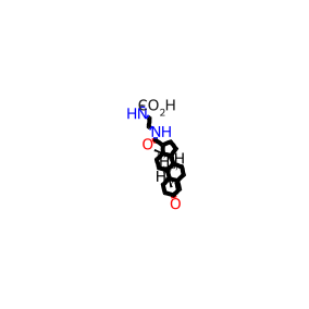 C[C@]12CCC(=O)C=C1CC[C@@H]1[C@H]2CC[C@]2(C)C(C(=O)NCCNC(=O)O)CC[C@@H]12